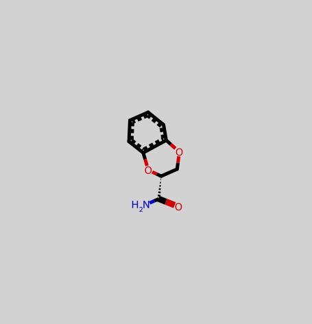 NC(=O)[C@H]1COc2ccccc2O1